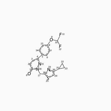 O=c1ccc(-c2ccc(OC(F)F)cc2)nn1Cc1nc(C2CC2)cs1